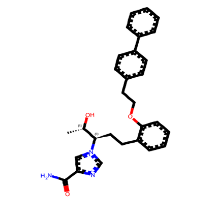 C[C@H](O)[C@@H](CCc1ccccc1OCCc1ccc(-c2ccccc2)cc1)n1cnc(C(N)=O)c1